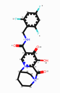 O=C(NCc1c(F)cc(F)cc1F)c1cn2c(c(O)c1=O)C(=O)N1CCCC2CC1